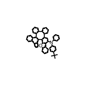 CC(C)(C)c1ccc(N(c2ccccc2)c2cc3c(c4oc5ccccc5c24)-c2c(c4ccccc4c4ccccc24)-c2ccccc2-c2ccccc2-3)cc1